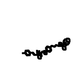 Cc1ccc(/C=C/c2nc(COc3ccc(CCCCOC(=O)N4CCOCC4)cc3)co2)cc1